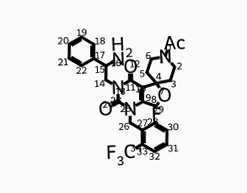 CC(=O)N1CCC2(CC1)OCc1c2c(=O)n(CC(N)c2ccccc2)c(=O)n1Cc1c(F)cccc1C(F)(F)F